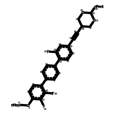 CCCCCCCOc1ccc(-c2ccc(-c3ccc(C#CC4COC(CCCCC)OC4)cc3F)cc2)c(F)c1F